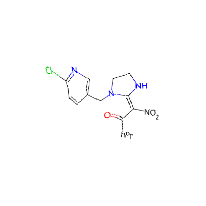 CCCC(=O)/C(=C1/NCCN1Cc1ccc(Cl)nc1)[N+](=O)[O-]